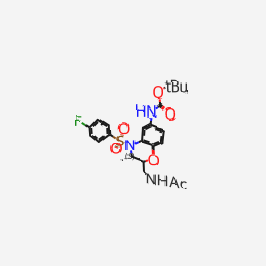 CC(=O)NCC1Oc2ccc(NC(=O)OC(C)(C)C)cc2N(S(=O)(=O)c2ccc(F)cc2)[C@H]1C